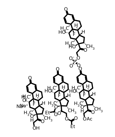 CC(=O)OCC(=O)[C@@]1(O)[C@@H](C)C[C@H]2[C@@H]3CCC4=CC(=O)C=C[C@]4(C)[C@@]3(F)[C@@H](O)C[C@@]21C.CCC(=O)OCC(=O)[C@@]1(OC(=O)CC)[C@@H](C)C[C@H]2[C@@H]3CCC4=CC(=O)C=C[C@]4(C)[C@@]3(F)[C@@H](O)C[C@@]21C.C[C@H]1C[C@H]2[C@@H]3CCC4=CC(=O)C=C[C@]4(C)[C@@]3(F)[C@@H](O)C[C@]2(C)[C@@]1(O)C(=O)CO.C[C@H]1C[C@H]2[C@@H]3CCC4=CC(=O)C=C[C@]4(C)[C@@]3(F)[C@@H](O)C[C@]2(C)[C@@]1(O)C(=O)COP(=O)([O-])[O-].[Na+].[Na+]